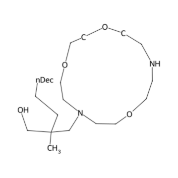 CCCCCCCCCCCCC(C)(CO)CN1CCOCCNCCOCCOCC1